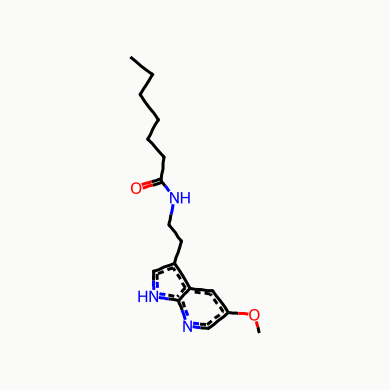 CCCCCCC(=O)NCCc1c[nH]c2ncc(OC)cc12